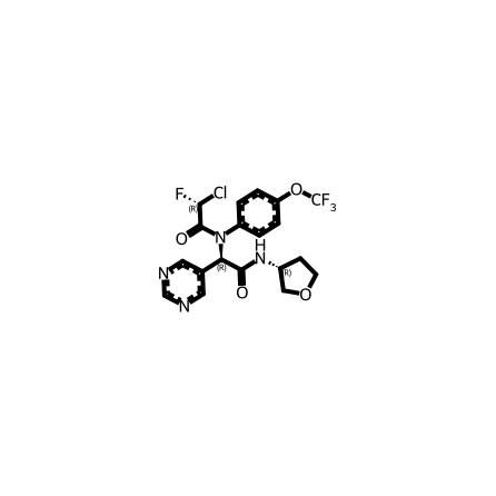 O=C(N[C@@H]1CCOC1)[C@@H](c1cncnc1)N(C(=O)[C@H](F)Cl)c1ccc(OC(F)(F)F)cc1